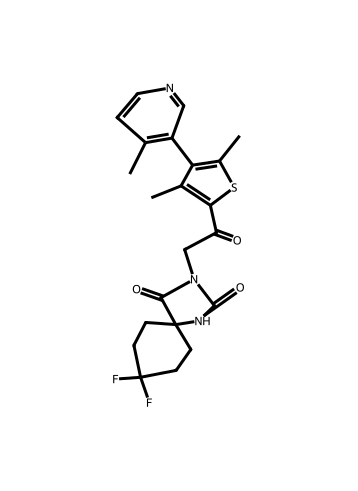 Cc1ccncc1-c1c(C)sc(C(=O)CN2C(=O)NC3(CCC(F)(F)CC3)C2=O)c1C